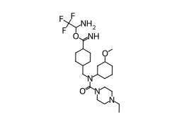 CCN1CCN(C(=O)N(CC2CCC(C(=N)OC(N)C(F)(F)F)CC2)C2CCCC(OC)C2)CC1